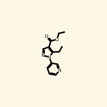 CCOC(=O)c1cnn(-c2cccnc2)c1CC